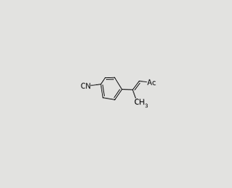 [C-]#[N+]c1ccc(C(C)=CC(C)=O)cc1